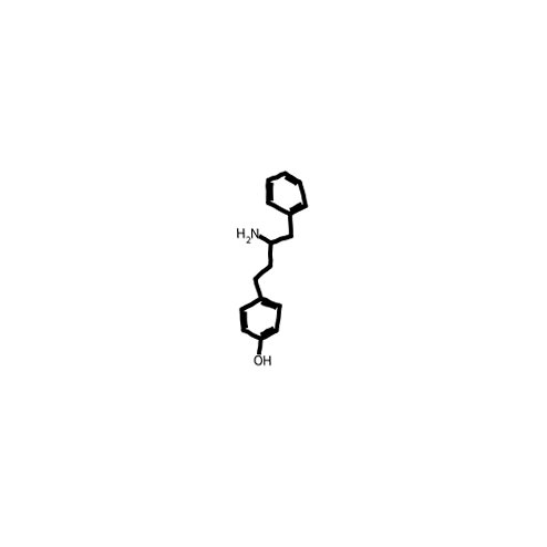 NC(CCc1ccc(O)cc1)Cc1ccccc1